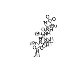 C=CCNC(=O)C(=O)C(CCC)NC(=O)[C@@H]1[C@@H]2[C@H](CN1C(=O)[C@@H](NC(=O)N[C@H](CN(C)c1c(C)c(=O)c1=O)C(C)(C)C)C(C)(C)C)C2(C)C